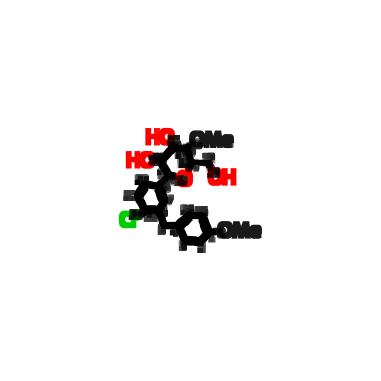 COc1ccc(Cc2cc([C@@H]3O[C@H](CO)[C@H](OC)[C@H](O)[C@H]3O)ccc2Cl)cc1